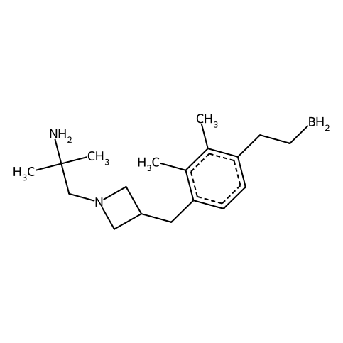 BCCc1ccc(CC2CN(CC(C)(C)N)C2)c(C)c1C